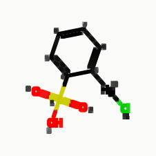 O=S(=O)(O)c1cccc[c]1[Hg][Cl]